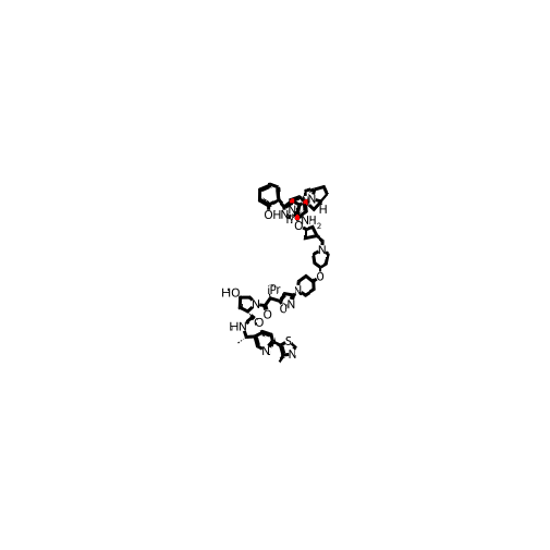 Cc1ncsc1-c1ccc([C@H](C)NC(=O)[C@@H]2C[C@@H](O)CN2C(=O)[C@@H](c2cc(N3CCC(OC4CCN(CC5CC(Oc6cc(N7C8CC[C@@H]7CN(c7cc(-c9ccccc9O)nnc7N)C8)ccn6)C5)CC4)CC3)no2)C(C)C)cn1